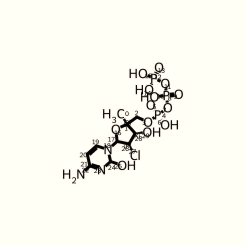 C[C@]1(COP(=O)(O)OP(=O)(O)OP(=O)(O)O)OC(N2C=CC(N)=NC2O)[C@H](Cl)[C@@H]1O